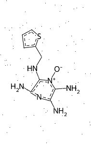 Nc1nc(N)c(NCc2cccs2)[n+]([O-])c1N